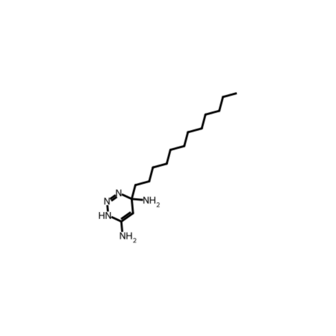 CCCCCCCCCCCCC1(N)C=C(N)NN=N1